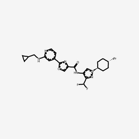 CC(C)[C@H]1CC[C@H](n2cc(NC(=O)c3coc(-c4ccnc(NCC5CC5)c4)n3)c(C(F)F)n2)CC1